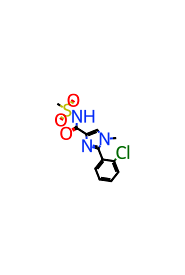 Cn1cc(C(=O)NS(C)(=O)=O)nc1-c1ccccc1Cl